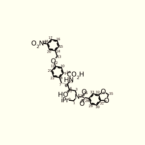 CC(C)CN(C[C@@H](O)[C@H](Cc1ccc(OCc2cccc([N+](=O)[O-])c2)cc1)NC(=O)O)S(=O)(=O)c1ccc2c(c1)OCO2